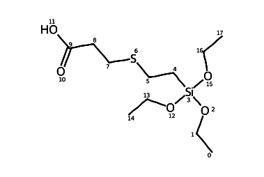 CCO[Si](CCSCCC(=O)O)(OCC)OCC